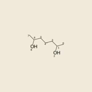 CC(O)C[CH]CC(C)O